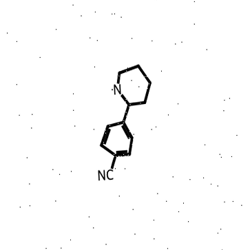 N#Cc1ccc(C2CCCC[N]2)cc1